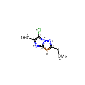 COCc1nn2c(Cl)c(C=O)nc2s1